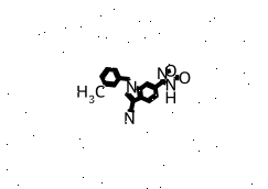 Cc1cccc(Cn2cc(C#N)c3ccc(-c4noc(=O)[nH]4)cc32)c1